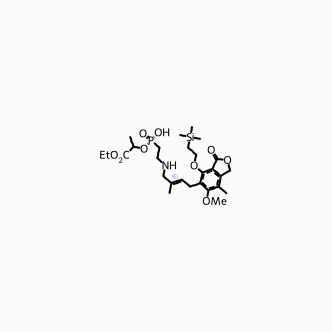 CCOC(=O)C(C)OP(=O)(O)CCNC/C(C)=C/Cc1c(OC)c(C)c2c(c1OCC[Si](C)(C)C)C(=O)OC2